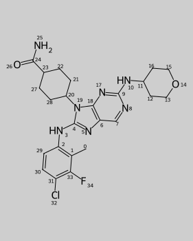 Cc1c(Nc2nc3cnc(NC4CCOCC4)nc3n2C2CCC(C(N)=O)CC2)ccc(Cl)c1F